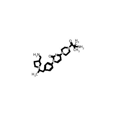 CC(Cc1ccc(-n2ccc(N3CCN(C(=O)C(C)(C)N)CC3)nc2=O)cc1)N1CCC(CN)C1